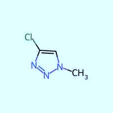 Cn1cc(Cl)nn1